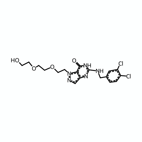 O=c1[nH]c(NCc2ccc(Cl)c(Cl)c2)nc2cnn(CCOCCOCCO)c12